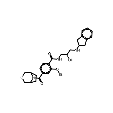 CCOc1cc(C(=O)N2C3CCC2COC3)ccc1C(=O)NC[C@H](O)CNC1Cc2ccccc2C1